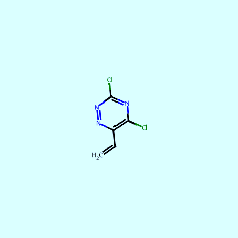 C=Cc1nnc(Cl)nc1Cl